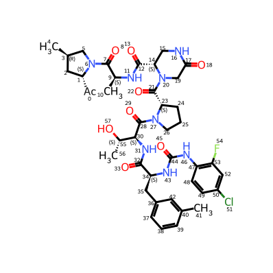 CC(=O)[C@@H]1C[C@@H](C)CN1C(=O)[C@H](C)NC(=O)[C@@H]1CNC(=O)CN1C(=O)[C@@H]1CCCN1C(=O)[C@@H](NC(=O)[C@H](Cc1cccc(C)c1)NC(=O)Nc1ccc(Cl)cc1F)[C@H](C)O